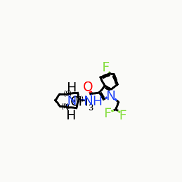 CN1[C@@H]2CCC[C@H]1C[C@@H](NC(=O)c1cn(CC(F)F)c3ccc(F)cc13)C2